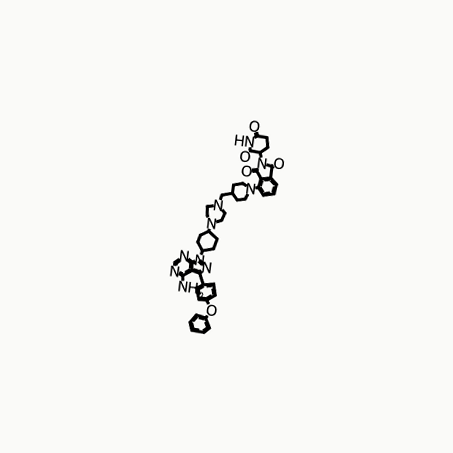 Nc1ncnc2c1c(-c1ccc(Oc3ccccc3)cc1)nn2C1CCC(N2CCN(CC3CCN(c4cccc5c4C(=O)N(C4CCC(=O)NC4=O)C5=O)CC3)CC2)CC1